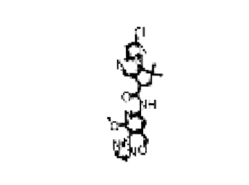 COc1nc(NC(=O)C2CC(C)(C)c3c2cnc2cc(Cl)nn32)cc(C=O)c1-n1nccn1